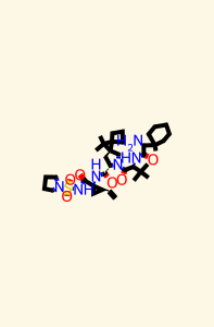 C=C[C@@H]1C[C@]1(NC(=O)[C@@H]1C[C@@]2(CN1C(=O)[C@@H](NC(=O)[C@@H](N)C1(C)CCCCC1)C(C)(C)C)C(C)(C)C21CCC1)C(=O)NS(=O)(=O)N1CCCC1